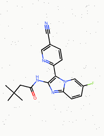 CC(C)(C)CC(=O)Nc1nc2ccc(F)cn2c1-c1ccc(C#N)cn1